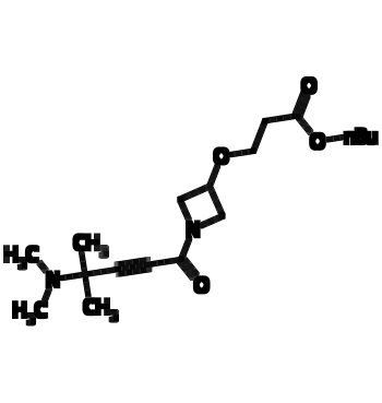 CCCCOC(=O)CCOC1CN(C(=O)C#CC(C)(C)N(C)C)C1